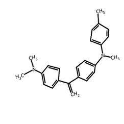 C=C(c1ccc(N(C)C)cc1)c1ccc(N(C)c2ccc(C)cc2)cc1